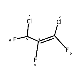 FC(Cl)=C(F)C(F)Cl